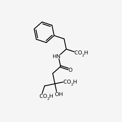 O=C(O)CC(O)(CC(=O)NC(Cc1ccccc1)C(=O)O)C(=O)O